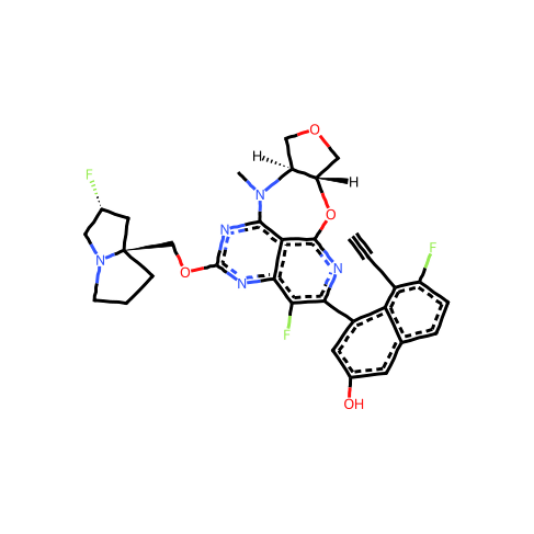 C#Cc1c(F)ccc2cc(O)cc(-c3nc4c5c(nc(OC[C@@]67CCCN6C[C@H](F)C7)nc5c3F)N(C)[C@H]3COC[C@@H]3O4)c12